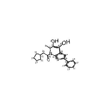 CC1C(O)=C(O)c2cc(-c3ccccc3)sc2N1C(=O)CC1CCCC1